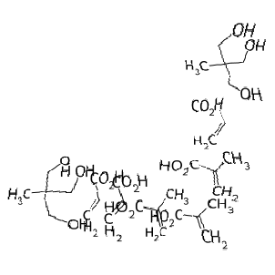 C=C(C)C(=O)O.C=C(C)C(=O)O.C=C(C)C(=O)O.C=CC(=O)O.C=CC(=O)O.C=CC(=O)O.CC(CO)(CO)CO.CC(CO)(CO)CO